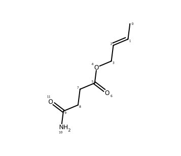 CC=CCOC(=O)CCC(N)=O